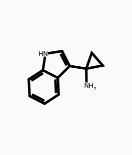 NC1(c2c[nH]c3ccccc23)CC1